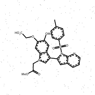 COC(=O)Cn1cc(-c2cc3cccnc3n2S(=O)(=O)c2ccc(C)cc2)c2cc(OC)c(OCC(=O)O)cc21